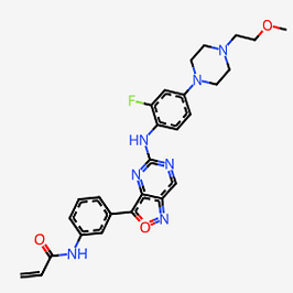 C=CC(=O)Nc1cccc(-c2onc3cnc(Nc4ccc(N5CCN(CCOC)CC5)cc4F)nc23)c1